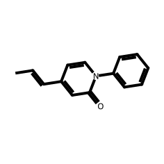 C/C=C/c1ccn(-c2ccccc2)c(=O)c1